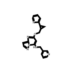 c1ccc(C2CC2COc2cc(NCc3cccnc3)n3nccc3n2)nc1